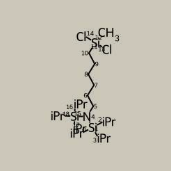 CC(C)[Si](C(C)C)(C(C)C)N(CCCCCC[Si](C)(Cl)Cl)[Si](C(C)C)(C(C)C)C(C)C